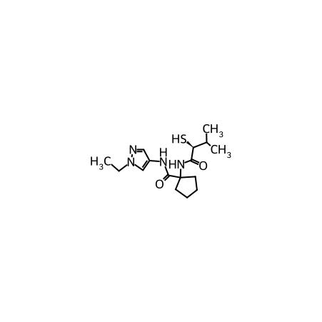 CCn1cc(NC(=O)C2(NC(=O)[C@@H](S)C(C)C)CCCC2)cn1